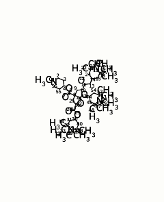 CN1CCC(OC(=O)C(CCC(=O)CC2CC(C)(C)N(C)C(C)(C)C2)(CCC(=O)OC2CC(C)(C)N(C)C(C)(C)C2)C(=O)OC2CC(C)(C)N(C)C(C)(C)C2)CC1